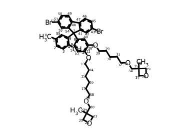 Cc1ccc(C)c(C2(c3ccc(OCCCCCCOCC4(C)COC4)c(OCCCCCOCC4(C)COC4)c3)c3cc(Br)ccc3-c3ccc(Br)cc32)c1